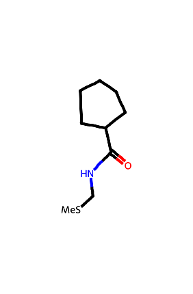 CSCNC(=O)C1CCCCC1